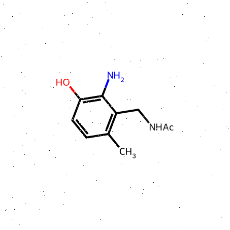 CC(=O)NCc1c(C)ccc(O)c1N